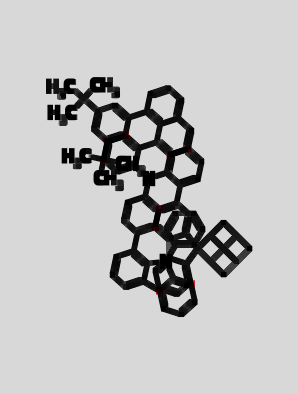 CC(C)(C)c1cc(-c2cccc3cccc(-c4ccccc4N(c4ccc(-c5cccc6c7ccccc7n(-c7ccccc7)c56)cc4)c4ccccc4-c4ccc5c(c4)C4(c6ccccc6-5)C5CC6CC7CC4C675)c23)cc(C(C)(C)C)c1